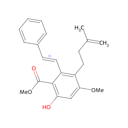 C=C(C)CCc1c(OC)cc(O)c(C(=O)OC)c1/C=C/c1ccccc1